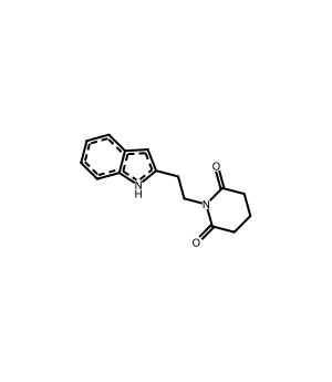 O=C1CCCC(=O)N1CCc1cc2ccccc2[nH]1